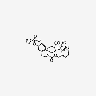 CCOC(=O)C1(C(=O)OCC)CCC2(CC1)c1ccc(OS(=O)(=O)C(F)(F)F)cc1CCN2C(=O)OCc1ccccc1